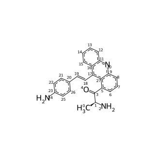 C[C@H](N)C(=O)c1cccc2nc3ccccc3c(C=Cc3ccc(N)cc3)c12